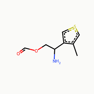 Cc1cscc1C(N)COC=O